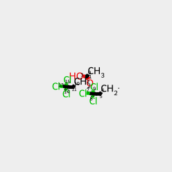 CC(=O)O.[CH2]CC(Cl)(Cl)Cl.[CH2]CC(Cl)(Cl)Cl